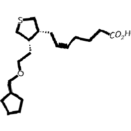 O=C(O)CCC/C=C\C[C@H]1CSC[C@H]1CCOCC1CCCC1